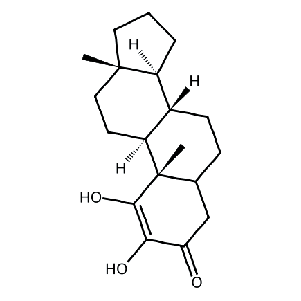 C[C@@]12CCC[C@H]1[C@@H]1CCC3CC(=O)C(O)=C(O)[C@]3(C)[C@H]1CC2